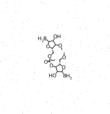 B[C@@H]1O[C@H](COP(C)(=O)OC2[C@@H](COC)O[C@@H](B)[C@H]2O)C(OC)[C@@H]1O